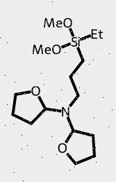 CC[Si](CCCN(C1CCCO1)C1CCCO1)(OC)OC